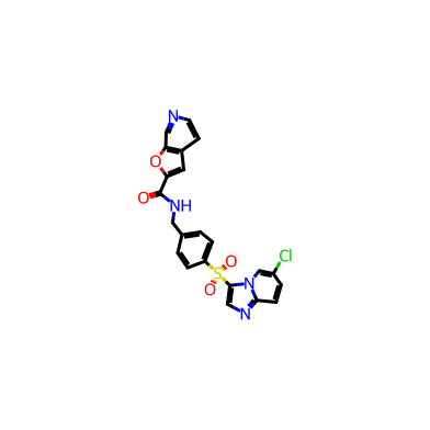 O=C(NCc1ccc(S(=O)(=O)c2cnc3ccc(Cl)cn23)cc1)c1cc2ccncc2o1